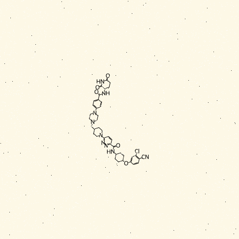 N#Cc1ccc(OC2CCC(NC(=O)c3ccc(N4CCC(CN5CCN(c6ccc(C(=O)NC7CCC(=O)NC7=O)cc6)CC5)CC4)nn3)CC2)cc1Cl